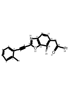 Cc1ccccc1C#Cc1nc2ccc(CC(=O)C(C)C)c(F)c2o1